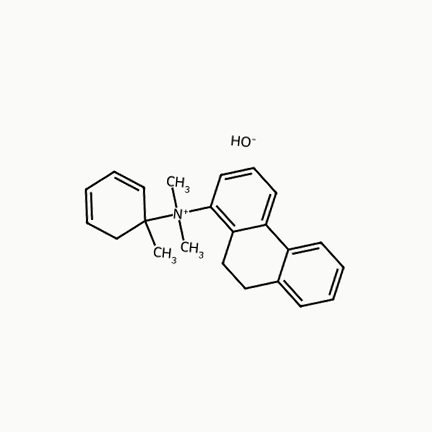 CC1([N+](C)(C)c2cccc3c2CCc2ccccc2-3)C=CC=CC1.[OH-]